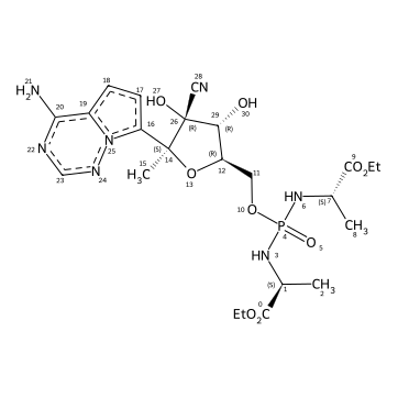 CCOC(=O)[C@H](C)NP(=O)(N[C@@H](C)C(=O)OCC)OC[C@H]1O[C@@](C)(c2ccc3c(N)ncnn23)[C@@](O)(C#N)[C@@H]1O